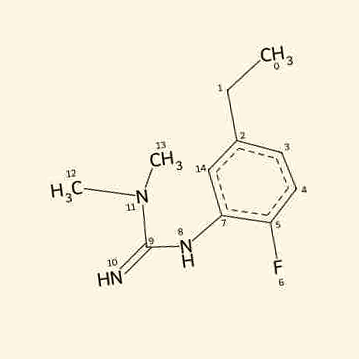 CCc1ccc(F)c(NC(=N)N(C)C)c1